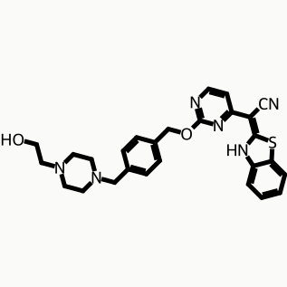 N#CC(=C1Nc2ccccc2S1)c1ccnc(OCc2ccc(CN3CCN(CCO)CC3)cc2)n1